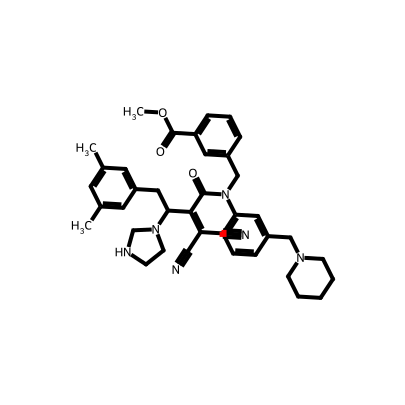 COC(=O)c1cccc(CN(C(=O)C(=C(C#N)C#N)C(Cc2cc(C)cc(C)c2)N2CCNC2)c2cccc(CN3CCCCC3)c2)c1